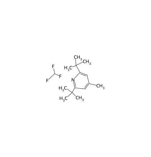 Cc1cc(C(C)(C)C)nc(C(C)(C)C)c1.FC(F)F